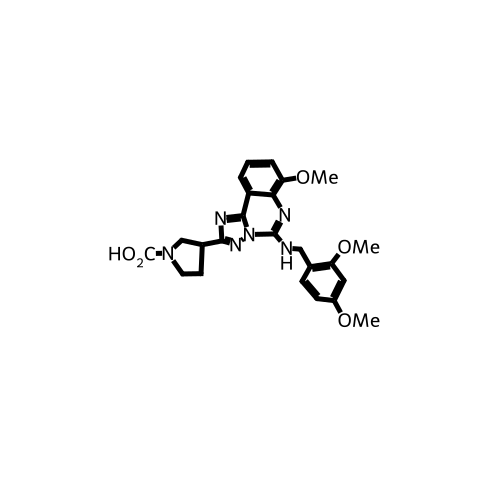 COc1ccc(CNc2nc3c(OC)cccc3c3nc(C4CCN(C(=O)O)C4)nn23)c(OC)c1